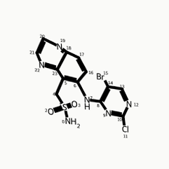 NS(=O)(=O)Cc1c(Nc2nc(Cl)ncc2Br)ccc2nccnc12